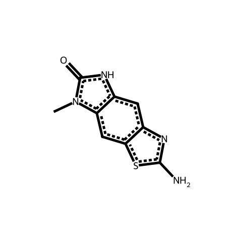 Cn1c(=O)[nH]c2cc3nc(N)sc3cc21